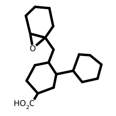 O=C(O)C1CCC(CC23CCCCC2O3)C(C2CCCCC2)C1